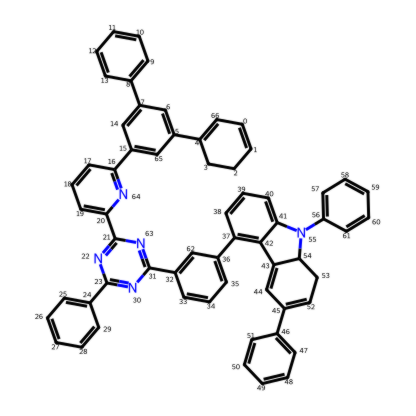 C1=CCCC(c2cc(-c3ccccc3)cc(-c3cccc(-c4nc(-c5ccccc5)nc(-c5cccc(-c6cccc7c6C6=CC(c8ccccc8)=CCC6N7c6ccccc6)c5)n4)n3)c2)=C1